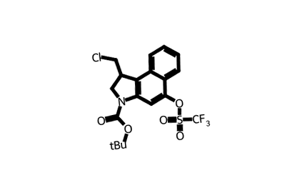 CC(C)(C)OC(=O)N1CC(CCl)c2c1cc(OS(=O)(=O)C(F)(F)F)c1ccccc21